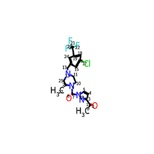 CC(=O)c1ccn(C(=O)N2CCN(Cc3cc(Cl)cc(C(F)(F)F)c3)C[C@@H]2C)n1